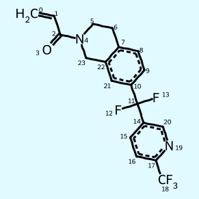 C=CC(=O)N1CCc2ccc(C(F)(F)c3ccc(C(F)(F)F)nc3)cc2C1